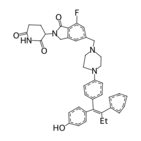 CC/C(=C(\c1ccc(O)cc1)c1ccc(N2CCN(Cc3cc(F)c4c(c3)CN(C3CCC(=O)NC3=O)C4=O)CC2)cc1)c1ccccc1